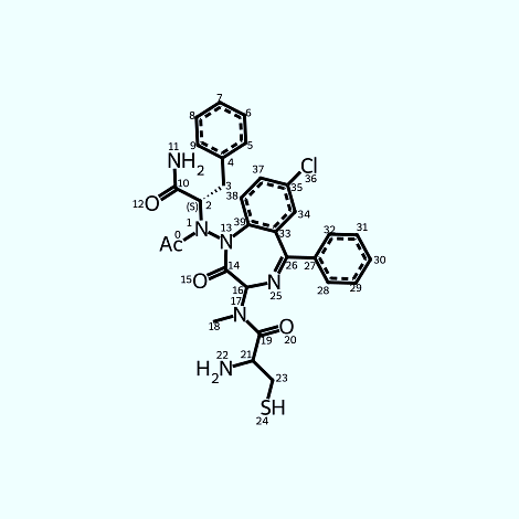 CC(=O)N([C@@H](Cc1ccccc1)C(N)=O)N1C(=O)C(N(C)C(=O)C(N)CS)N=C(c2ccccc2)c2cc(Cl)ccc21